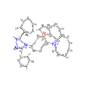 c1ccc(-c2nnc(-c3ccccc3)n2-c2ccc(-n3ccccccc4ccc5ccoc5c43)cc2)cc1